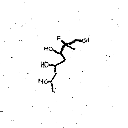 [CH2]C(O)CC(O)CC(O)C(F)(F)CO